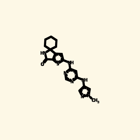 Cn1cc(Nc2cc(Nc3cc4c(s3)C(=O)NC43CCCCC3)ncn2)cn1